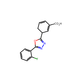 O=C(O)C1=CC(c2nnc(-c3ccccc3F)o2)CC=C1